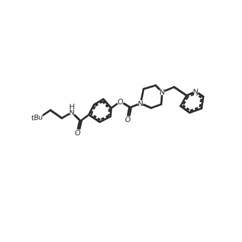 CC(C)(C)CCNC(=O)c1ccc(OC(=O)N2CCN(Cc3ccccn3)CC2)cc1